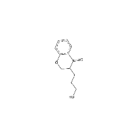 O=C1c2ccccc2OCC1CCCO